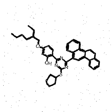 CCCCC(CC)COc1ccc(-c2nc(SC3CCCC3)nc(-c3cc4c5ccccc5ccc4c4ccccc34)n2)c(O)c1